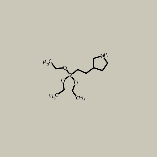 CCO[Si](CCC1CCNC1)(OCC)OCC